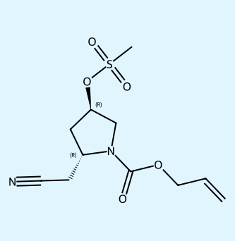 C=CCOC(=O)N1C[C@H](OS(C)(=O)=O)C[C@H]1CC#N